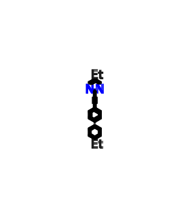 CCc1cnc(C#Cc2ccc([C@H]3CC[C@H](CC)CC3)cc2)nc1